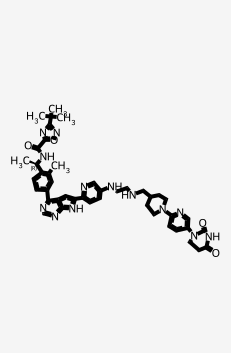 Cc1cc(-c2ncnc3[nH]c(-c4ccc(NCCNCC5CCN(c6ccc(N7CCC(=O)NC7=O)cn6)CC5)cn4)cc23)ccc1[C@@H](C)NC(=O)c1nc(C(C)(C)C)no1